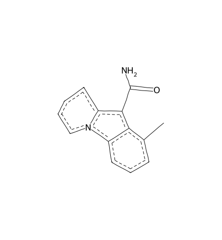 Cc1cccc2c1c(C(N)=O)c1ccccn12